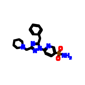 NS(=O)(=O)c1ccc(-n2nc(CN3CCCCC3)nc2Cc2ccccc2)nc1